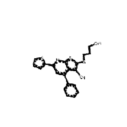 N#Cc1c(SCCCO)sc2nc(-c3cccs3)cc(-c3ccccc3)c12